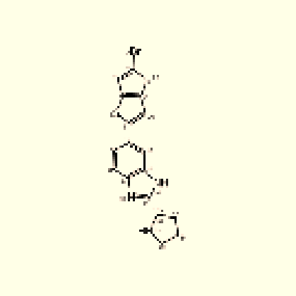 Brc1cc2sc(-c3ccc4nc([C@@H]5CCCN5)[nH]c4c3)cc2s1